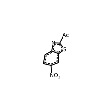 CC(=O)c1nc2ccc([N+](=O)[O-])cc2s1